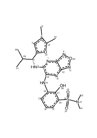 Cc1cc([C@H](Nc2nc3nonc3nc2Nc2cccc(S(=O)(=O)N(C)C)c2O)C(C)C)oc1C